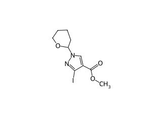 COC(=O)c1cn(C2CCCCO2)nc1I